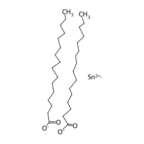 CCCCCCCCCCCCCCCC(=O)[O-].CCCCCCCCCCCCCCCC(=O)[O-].[Sn+2]